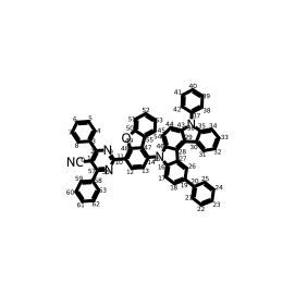 N#Cc1c(-c2ccccc2)nc(-c2ccc(-n3c4ccc(-c5ccccc5)cc4c4c5c6ccccc6n(-c6ccccc6)c5ccc43)c3c2oc2ccccc23)nc1-c1ccccc1